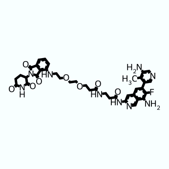 Cc1c(N)cncc1-c1cc2cc(NC(=O)CCNC(=O)CCOCCOCCNc3cccc4c3C(=O)N(C3CCC(=O)NC3=O)C4=O)ncc2c(N)c1F